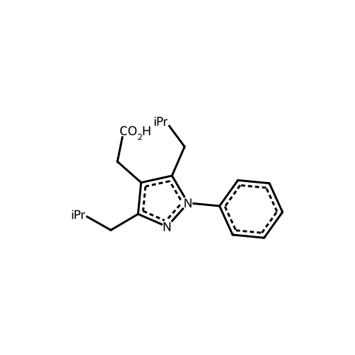 CC(C)Cc1nn(-c2ccccc2)c(CC(C)C)c1CC(=O)O